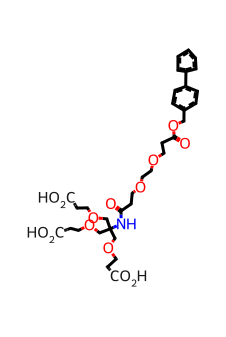 O=C(O)CCOCC(COCCC(=O)O)(COCCC(=O)O)NC(=O)CCOCCOCCC(=O)OCc1ccc(-c2ccccc2)cc1